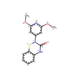 COc1cc(N2Sc3ccccc3NC2=O)cc(OC)n1